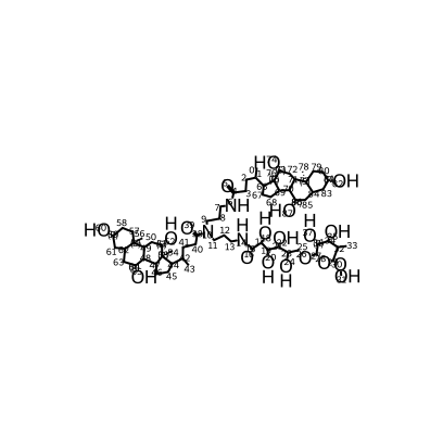 CC(CCC(=O)NCCCN(CCCNC(=O)C(O)C(O)C(O)C(O)COC1OC(OO)C(C)C(O)[C@H]1O)C(=O)CCC(C)C1CCC2C3C(C[C@H](O)[C@]12C)[C@@]1(C)CC[C@@H](O)CC1C[C@H]3O)C1CCC2C3C(C[C@H](O)[C@]12C)[C@@]1(C)CC[C@@H](O)CC1C[C@H]3O